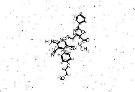 COC(=O)c1oc(-c2ccccc2)nc1CSc1nc(N)c(C#N)c(-c2ccc(OCCO)cc2)c1C#N